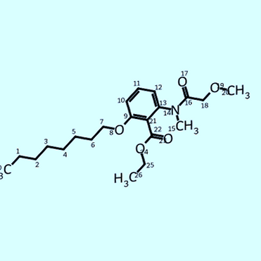 CCCCCCCCOc1cccc(N(C)C(=O)COC)c1C(=O)OCC